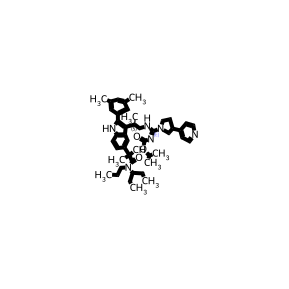 CCCN(C(=O)C(C)(C)c1ccc2[nH]c(-c3cc(C)cc(C)c3)c([C@H](C)CN/C(=N\C(=O)OC(C)C)N3CCC(c4ccncc4)C3)c2c1)C(CC)CC